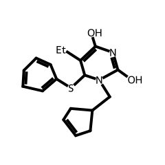 CCC1=C(O)N=C(O)N(CC2CC=CC2)C1Sc1ccccc1